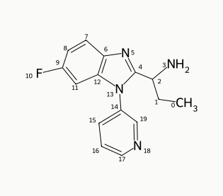 CCC(N)c1nc2ccc(F)cc2n1-c1cccnc1